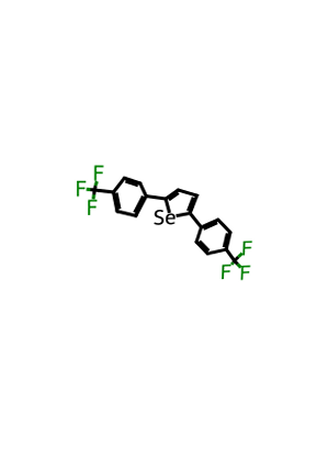 FC(F)(F)c1ccc(-c2ccc(-c3ccc(C(F)(F)F)cc3)[se]2)cc1